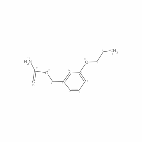 CCCOc1cccc(COC(N)=O)c1